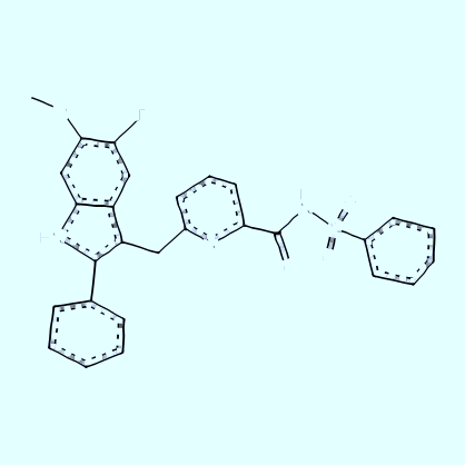 COc1cc2[nH]c(-c3ccccc3)c(Cc3cccc(C(=O)NS(=O)(=O)c4ccccc4)n3)c2cc1F